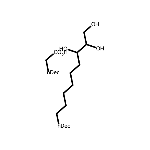 CCCCCCCCCCCC(=O)O.CCCCCCCCCCCCCCCCC(O)C(O)CO